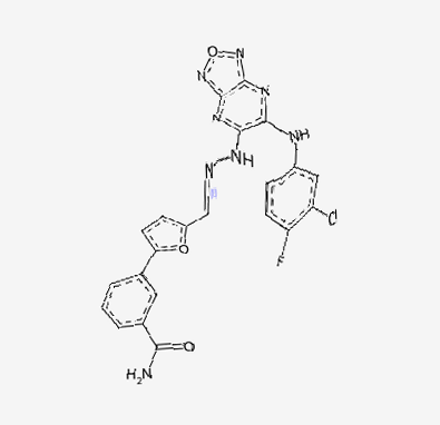 NC(=O)c1cccc(-c2ccc(/C=N/Nc3nc4nonc4nc3Nc3ccc(F)c(Cl)c3)o2)c1